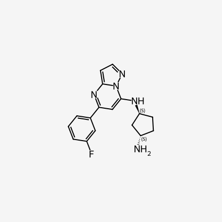 N[C@H]1CC[C@H](Nc2cc(-c3cccc(F)c3)nc3ccnn23)C1